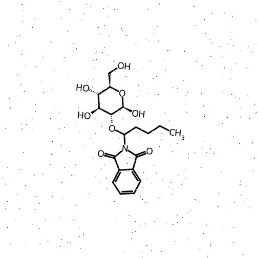 CCCCC(O[C@@H]1[C@@H](O)[C@H](O)[C@@H](CO)O[C@H]1O)N1C(=O)c2ccccc2C1=O